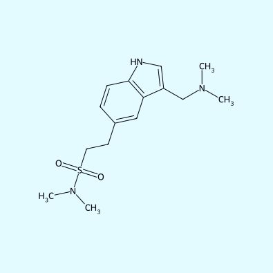 CN(C)Cc1c[nH]c2ccc(CCS(=O)(=O)N(C)C)cc12